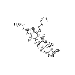 CCCCOc1c(Br)c(CNCCC)c(F)c2c1C(=O)C1=C3O[C@]34C(=O)c3c(O)noc3C[C@@H]4C[C@@H]1C2